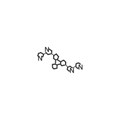 c1cncc(-c2cc(-c3ccc4c5ccc(-c6ccnc(-c7cccnc7)c6)cc5c5ccccc5c4c3)ccn2)c1